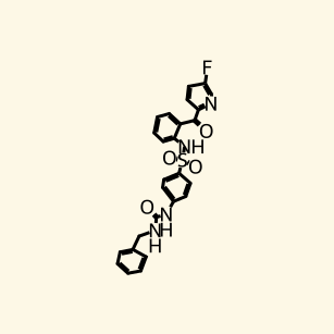 O=C(NCc1ccccc1)Nc1ccc(S(=O)(=O)Nc2ccccc2C(=O)c2ccc(F)cn2)cc1